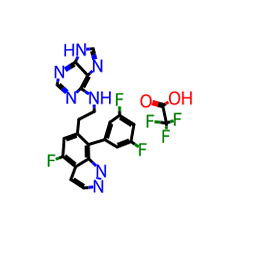 Fc1cc(F)cc(-c2c(CCNc3ncnc4[nH]cnc34)cc(F)c3ccnnc23)c1.O=C(O)C(F)(F)F